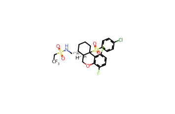 O=S(=O)(CC(F)(F)F)NC[C@@H]1CCCC2(S(=O)(=O)c3ccc(Cl)cc3)c3c(F)ccc(F)c3OC[C@@H]12